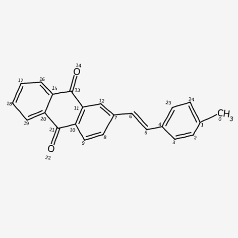 Cc1ccc(C=Cc2ccc3c(c2)C(=O)c2ccccc2C3=O)cc1